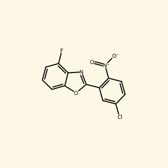 O=[N+]([O-])c1ccc(Cl)cc1-c1nc2c(F)cccc2o1